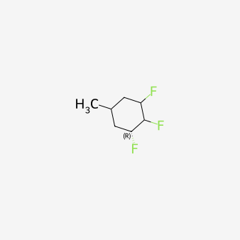 CC1CC(F)C(F)[C@H](F)C1